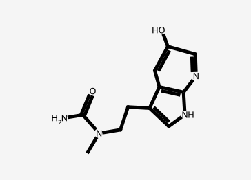 CN(CCc1c[nH]c2ncc(O)cc12)C(N)=O